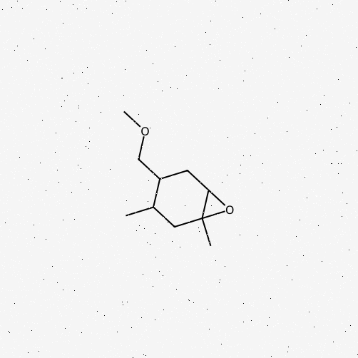 COCC1CC2OC2(C)CC1C